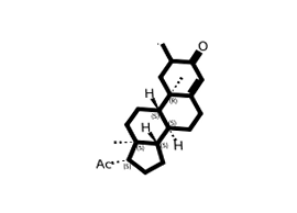 [CH2]C1C[C@@]2(C)C(=CC1=O)CC[C@H]1[C@@H]3CC[C@H](C(C)=O)[C@@]3(C)CC[C@@H]12